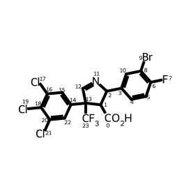 O=C(O)C1C(c2ccc(F)c(Br)c2)N=CC1(c1cc(Cl)c(Cl)c(Cl)c1)C(F)(F)F